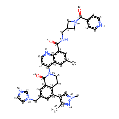 CCc1cc(C(=O)NCC2CN(C(=O)c3ccncc3)C2)c2nccc(N3CCc4c(cc(Cn5ccnc5)cc4-c4cn(C)nc4C(F)(F)F)C3=O)c2c1